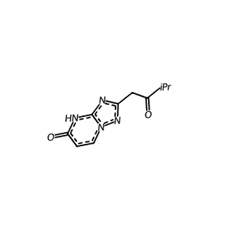 CC(C)C(=O)Cc1nc2[nH]c(=O)ccn2n1